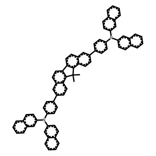 CC1(C)c2c(ccc3cc(-c4ccc(N(c5ccc6ccccc6c5)c5ccc6ccccc6c5)cc4)ccc23)-c2ccc3cc(-c4ccc(N(c5ccc6ccccc6c5)c5ccc6ccccc6c5)cc4)ccc3c21